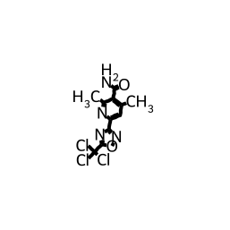 Cc1cc(-c2noc(C(Cl)(Cl)Cl)n2)nc(C)c1C(N)=O